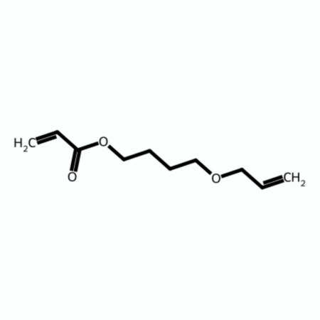 C=CCOCCCCOC(=O)C=C